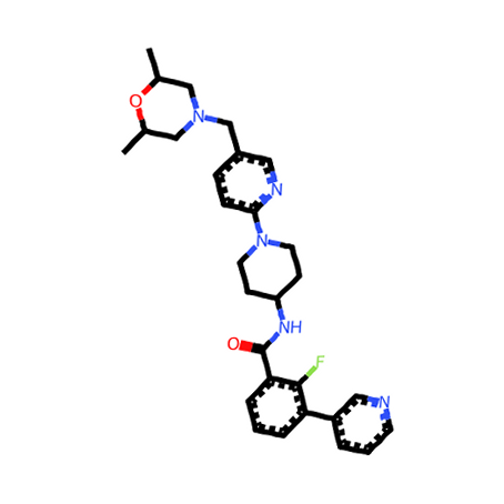 CC1CN(Cc2ccc(N3CCC(NC(=O)c4cccc(-c5cccnc5)c4F)CC3)nc2)CC(C)O1